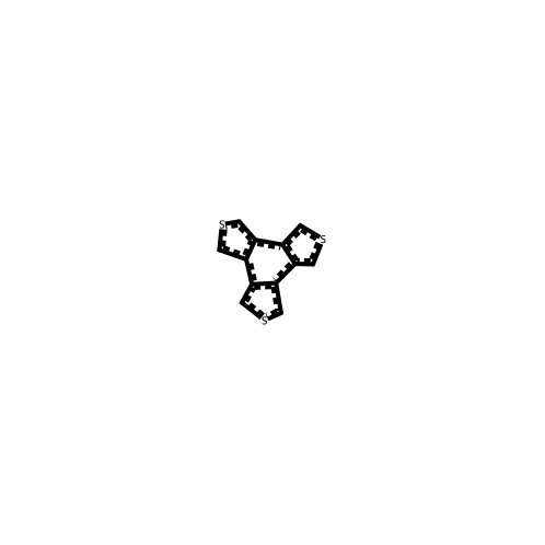 c1scc2c1c1cscc1c1cscc21